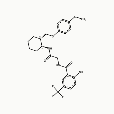 CSc1ccc(SC[C@@H]2CCCC[C@@H]2NC(=O)CNC(=O)c2cc(C(F)(F)F)ccc2N)cc1